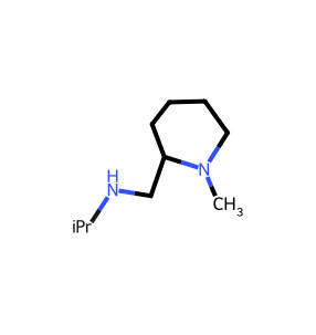 CC(C)NCC1CCCCN1C